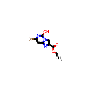 CCOC(=O)c1cn2c(O)nc(Br)cc2n1